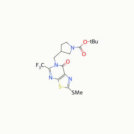 CSc1nc2c(=O)n(CC3CCN(C(=O)OC(C)(C)C)C3)c(C(F)(F)F)nc2s1